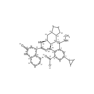 CNC(=O)c1cc(C2CC2)cc([N+](=O)[O-])c1N[C@@H]1CC2CCCC2C[C@@H]1NC(=O)c1cc(=O)[nH]c2ccccc12